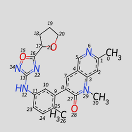 Cc1cc2c(cn1)cc(-c1cc(Nc3noc(C4CCCO4)n3)ccc1C)c(=O)n2C